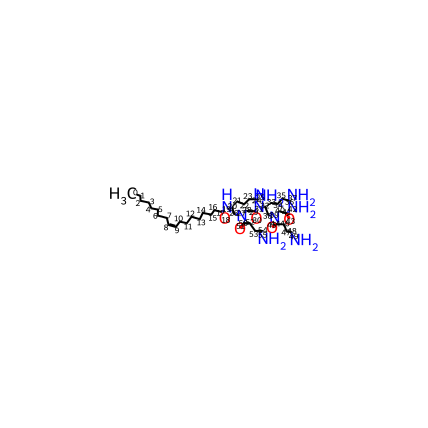 CCCCCCCC/C=C\CCCCCCCC(=O)N[C@@H](CCCCN)CN(CC(=O)N[C@@H](CCCCN)CN(CC(N)=O)C(=O)CCCN)C(=O)CCCN